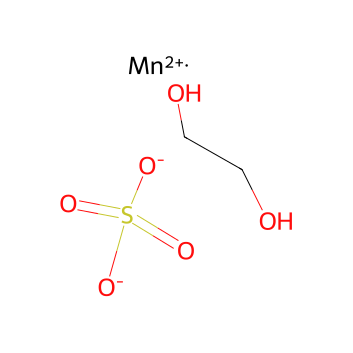 O=S(=O)([O-])[O-].OCCO.[Mn+2]